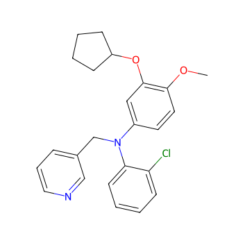 COc1ccc(N(Cc2cccnc2)c2ccccc2Cl)cc1OC1CCCC1